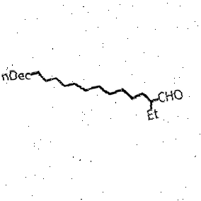 CCCCCCCCCCCCCCCCCCCCCC(C=O)CC